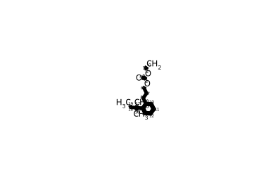 C=COC(=O)OCCCc1ccccc1C(C)(C)CC